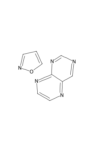 c1cnc2ncncc2n1.c1cnoc1